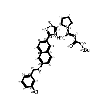 C/C(=N\C(=O)OC(C)(C)C)N1CCC[C@H]1c1nc(-c2ccc3cc(OCc4cccc(Cl)c4)ccc3c2)no1